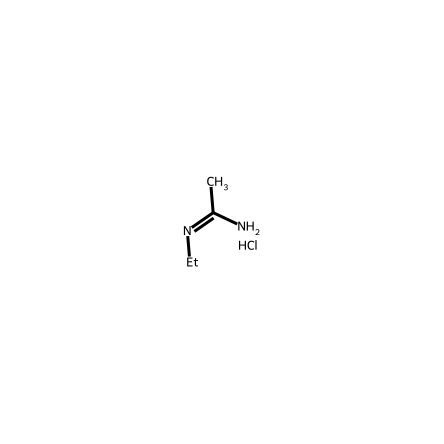 CCN=C(C)N.Cl